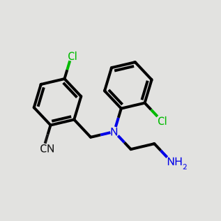 N#Cc1ccc(Cl)cc1CN(CCN)c1ccccc1Cl